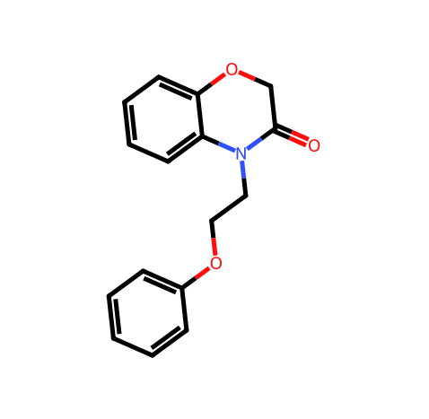 O=C1COc2ccccc2N1CCOc1ccccc1